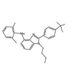 CCCCn1c(-c2ccc(C(C)(C)C)cc2)nc2c(Nc3c(C)cccc3C)cccc21